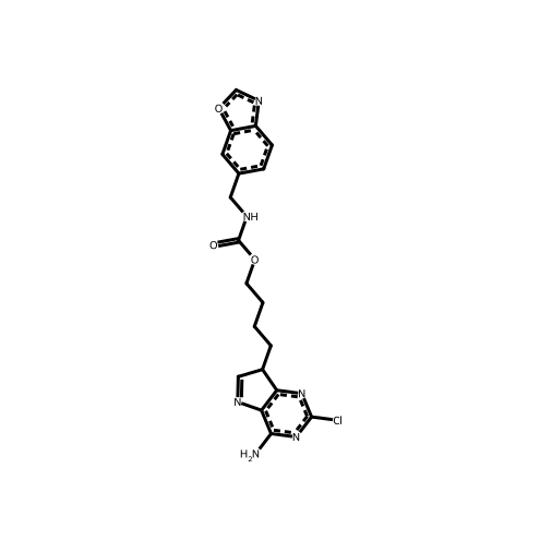 Nc1nc(Cl)nc2c1N=CC2CCCCOC(=O)NCc1ccc2ncoc2c1